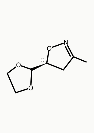 CC1=NO[C@H](C2OCCO2)C1